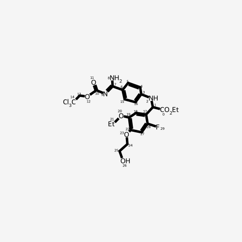 CCOC(=O)C(Nc1ccc(/C(N)=N/C(=O)OCC(Cl)(Cl)Cl)cc1)c1cc(OCC)c(OCCO)cc1F